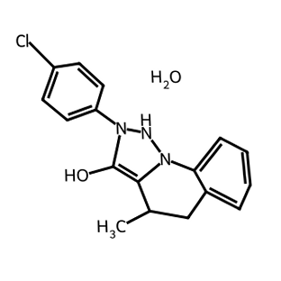 CC1Cc2ccccc2N2NN(c3ccc(Cl)cc3)C(O)=C12.O